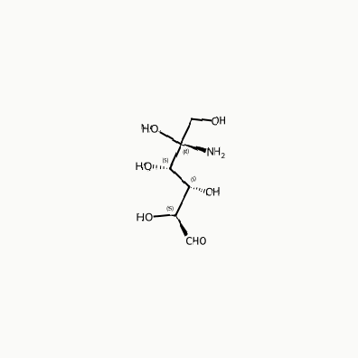 N[C@@](O)(CO)[C@@H](O)[C@H](O)[C@H](O)C=O